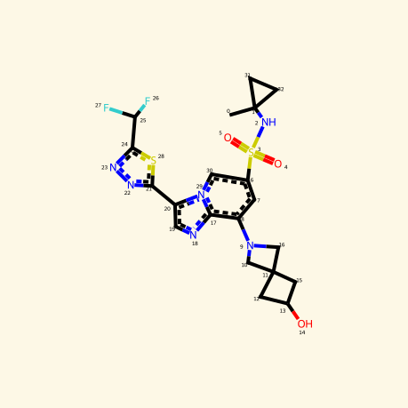 CC1(NS(=O)(=O)c2cc(N3CC4(CC(O)C4)C3)c3ncc(-c4nnc(C(F)F)s4)n3c2)CC1